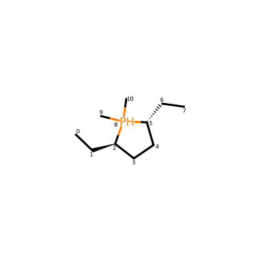 CC[C@@H]1CC[C@@H](CC)[PH]1(C)C